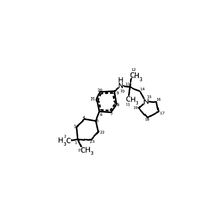 CC1(C)CCC(c2ccc(NC(C)(C)CN3CCCC3)cc2)CC1